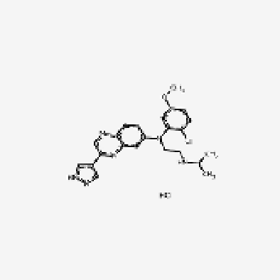 COc1ccc(Cl)c(N(CCNC(C)C)c2ccc3ncc(-c4cn[nH]c4)nc3c2)c1.Cl